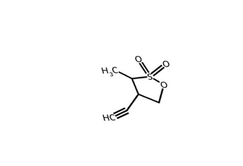 C#CC1COS(=O)(=O)C1C